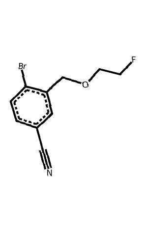 N#Cc1ccc(Br)c(COCCF)c1